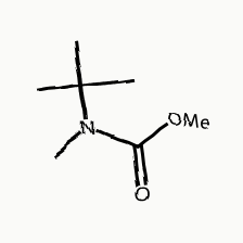 COC(=O)N(C)C(C)(C)C